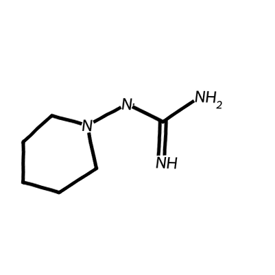 N=C(N)[N]N1CCCCC1